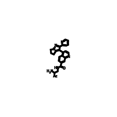 CC(=O)C(N)CNC(=O)c1ccc2c(-c3c(-c4ccccn4)nn4c3CCC4)ccnc2c1